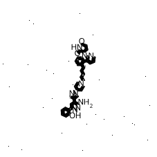 Nc1nnc(-c2ccccc2O)cc1-c1cnn(C2CCN(CCCCCc3cccc4c3c3cccnc3n4C3CCC(=O)NC3=O)CC2)c1